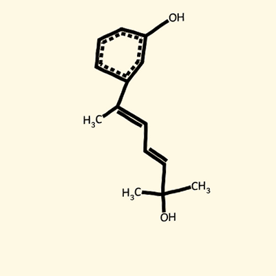 CC(=CC=CC(C)(C)O)c1cccc(O)c1